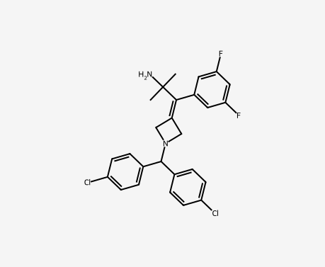 CC(C)(N)C(=C1CN(C(c2ccc(Cl)cc2)c2ccc(Cl)cc2)C1)c1cc(F)cc(F)c1